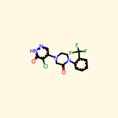 O=C1CN(c2cn[nH]c(=O)c2Cl)CCN1c1ccccc1C(F)(F)F